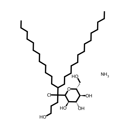 CCCCCCCCCCCCCCC(CCCCCCCCCCCC)C(Cl)(CCCO)C1O[C@H](CO)[C@@H](O)[C@H](O)[C@H]1O.N